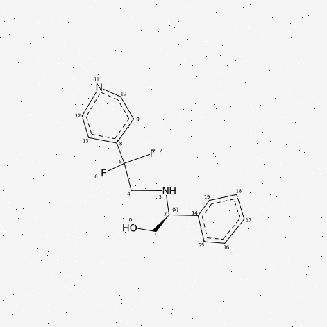 OC[C@@H](NCC(F)(F)c1ccncc1)c1ccccc1